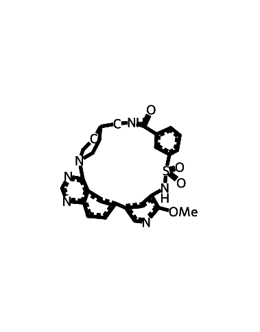 COc1ncc2cc1NS(=O)(=O)c1cccc(c1)C(=O)NCC1CCN(CC1)c1ncnc3ccc-2cc13